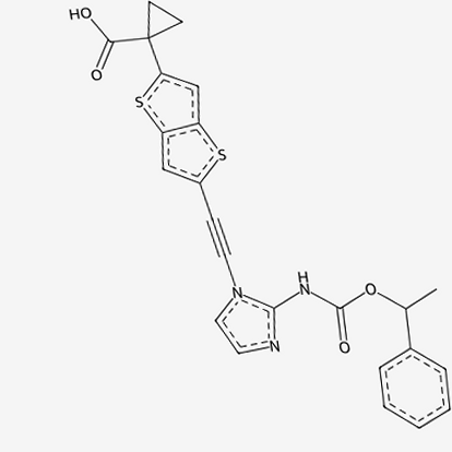 CC(OC(=O)Nc1nccn1C#Cc1cc2sc(C3(C(=O)O)CC3)cc2s1)c1ccccc1